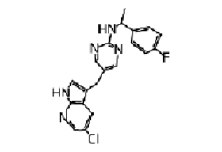 CC(Nc1ncc(Cc2c[nH]c3ncc(Cl)cc23)cn1)c1ccc(F)cc1